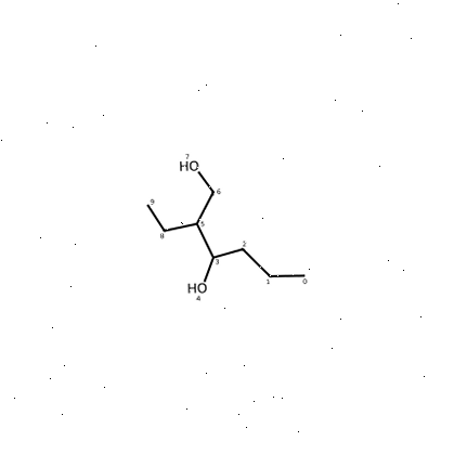 CCCC(O)C([CH]O)CC